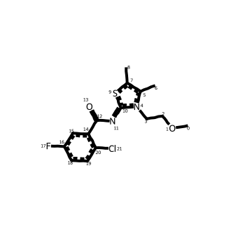 COCCn1c(C)c(C)sc1=NC(=O)c1cc(F)ccc1Cl